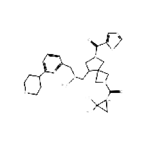 CN(Cc1cccc(C2CCOCC2)n1)CC1CN(C(=O)c2cncs2)CC12CN(C(=O)[C@H]1CC1(C)C)C2